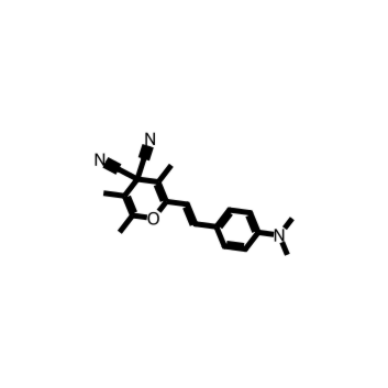 CC1=C(C)C(C#N)(C#N)C(C)=C(C=Cc2ccc(N(C)C)cc2)O1